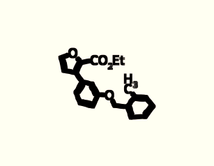 CCOC(=O)c1occc1-c1cccc(OCc2ccccc2C)c1